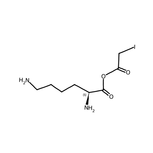 NCCCC[C@H](N)C(=O)OC(=O)CI